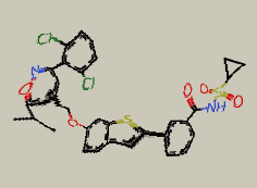 CC(C)c1onc(-c2c(Cl)cccc2Cl)c1COc1ccc2cc(-c3cccc(C(=O)NS(=O)(=O)C4CC4)c3)sc2c1